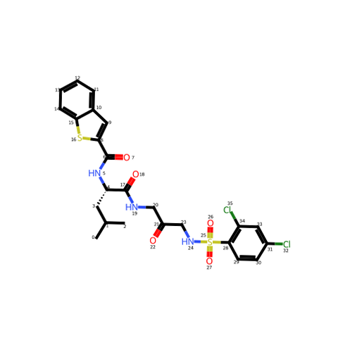 CC(C)C[C@H](NC(=O)c1cc2ccccc2s1)C(=O)NCC(=O)CNS(=O)(=O)c1ccc(Cl)cc1Cl